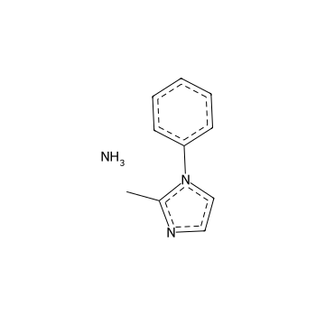 Cc1nccn1-c1ccccc1.N